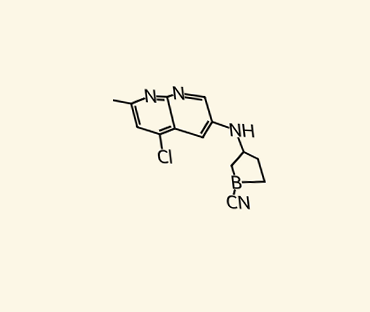 Cc1cc(Cl)c2cc(NC3CCB(C#N)C3)cnc2n1